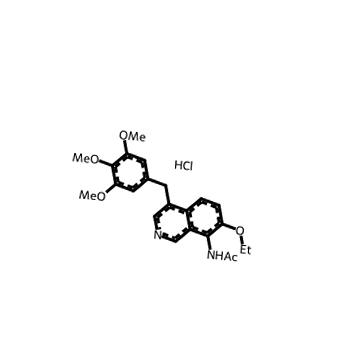 CCOc1ccc2c(Cc3cc(OC)c(OC)c(OC)c3)cncc2c1NC(C)=O.Cl